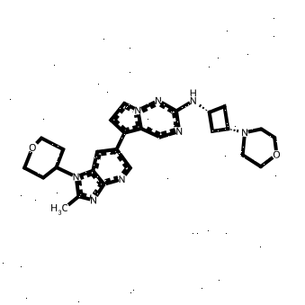 Cc1nc2ncc(-c3ccn4nc(N[C@H]5C[C@@H](N6CCOCC6)C5)ncc34)cc2n1C1CCOCC1